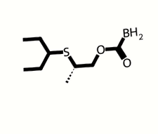 BC(=O)OC[C@H](C)SC(CC)CC